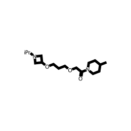 CC1CCN(C(=O)COCCCOC2CN(C(C)C)C2)CC1